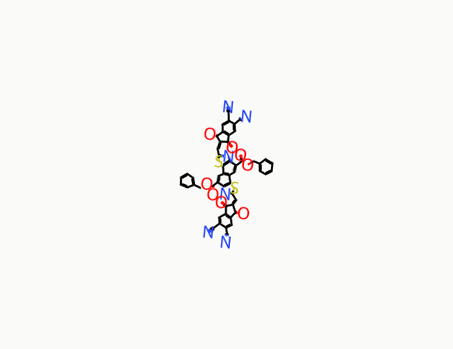 N#Cc1cc2c(cc1C#N)C(=O)C(=Cc1nc3c(C(=O)OCc4ccccc4)cc4c(cc(C(=O)OCc5ccccc5)c5nc(C=C6C(=O)c7cc(C#N)c(C#N)cc7C6=O)sc54)c3s1)C2=O